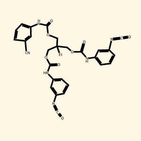 CCC(COC(=O)Nc1cccc(C#N)c1)(COC(=O)Nc1cccc(N=C=O)c1)COC(=O)Nc1cccc(N=C=O)c1